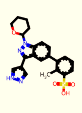 Cc1c(-c2ccc3c(c2)c(-c2cn[nH]c2)nn3C2CCCCO2)cccc1S(=O)(=O)O